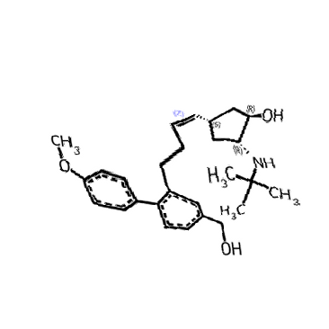 COc1ccc(-c2ccc(CO)cc2CC/C=C\[C@@H]2C[C@@H](O)[C@H](NC(C)(C)C)C2)cc1